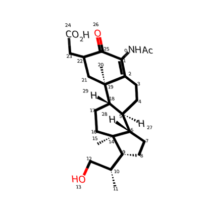 CC(=O)NC1=C2CC[C@H]3[C@@H]4CC[C@H]([C@H](C)CO)[C@@]4(C)CC[C@@H]3[C@@]2(C)CC(CC(=O)O)C1=O